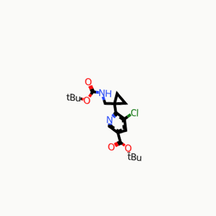 CC(C)(C)OC(=O)NCC1(c2ncc(C(=O)OC(C)(C)C)cc2Cl)CC1